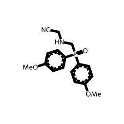 COc1ccc(P(=O)(CNCC#N)c2ccc(OC)cc2)cc1